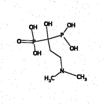 CN(C)CCC(O)(P(O)O)P(=O)(O)O